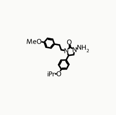 COc1ccc(CCN2C(=O)N(N)CC2c2ccc(OC(C)C)cc2)cc1